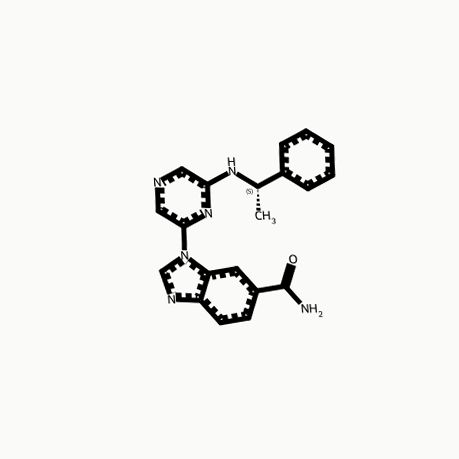 C[C@H](Nc1cncc(-n2cnc3ccc(C(N)=O)cc32)n1)c1ccccc1